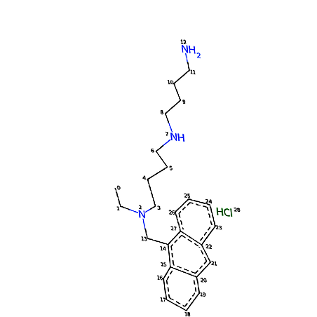 CCN(CCCCNCCCCN)Cc1c2ccccc2cc2ccccc12.Cl